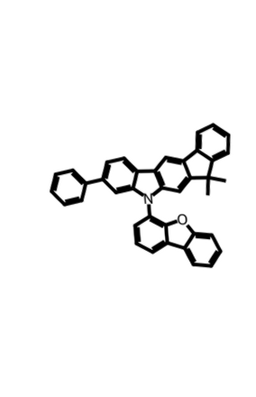 CC1(C)c2ccccc2-c2cc3c4ccc(-c5ccccc5)cc4n(-c4cccc5c4oc4ccccc45)c3cc21